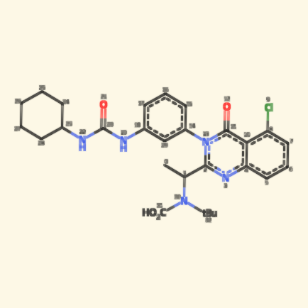 CC(c1nc2cccc(Cl)c2c(=O)n1-c1cccc(NC(=O)NC2CCCCC2)c1)N(C(=O)O)C(C)(C)C